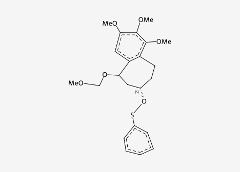 COCOC1C[C@@H](OSc2ccccc2)CCc2c1cc(OC)c(OC)c2OC